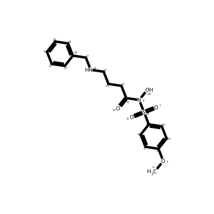 COc1ccc(S(=O)(=O)N(O)C(=O)CCCNCc2ccccc2)cc1